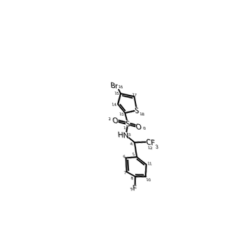 O=S(=O)(NC(c1ccc(F)cc1)C(F)(F)F)c1cc(Br)cs1